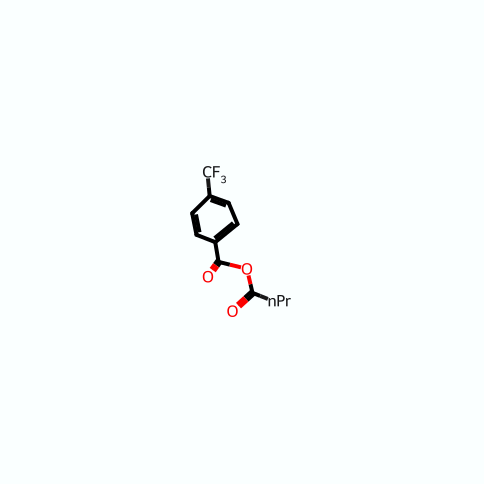 CCCC(=O)OC(=O)c1ccc(C(F)(F)F)cc1